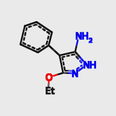 CCOc1n[nH]c(N)c1-c1ccccc1